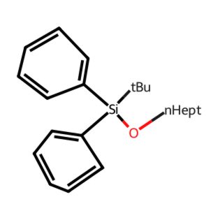 CCCCCCCO[Si](c1ccccc1)(c1ccccc1)C(C)(C)C